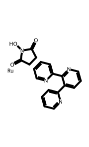 O=C1CCC(=O)N1O.[Ru].c1ccc(-c2cccnc2-c2ccccn2)nc1